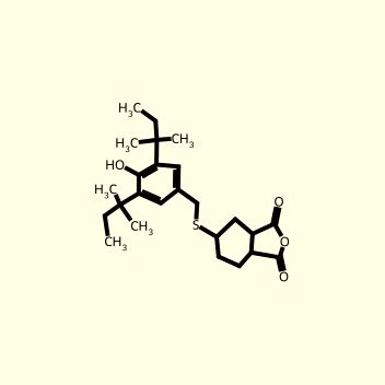 CCC(C)(C)c1cc(CSC2CCC3C(=O)OC(=O)C3C2)cc(C(C)(C)CC)c1O